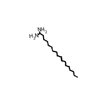 CCCCCCCCCCCCCCCCCC(N)N